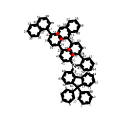 c1ccc(C2(c3ccccc3)c3ccccc3-c3c(N(c4ccc(-c5ccc(-c6cccc7ccccc67)cc5)cc4)c4ccccc4-c4ccc(-c5cccc6ccccc56)cc4)cccc32)cc1